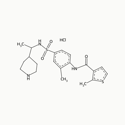 Cc1cc(S(=O)(=O)NC(C)C2CCNCC2)ccc1NC(=O)c1ccsc1C.Cl